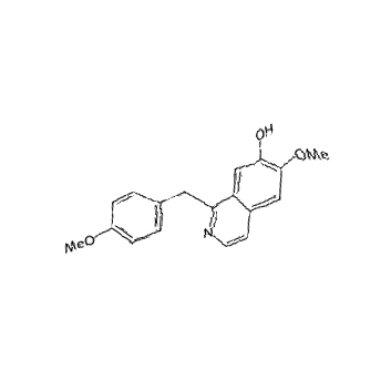 COc1ccc(Cc2nccc3cc(OC)c(O)cc23)cc1